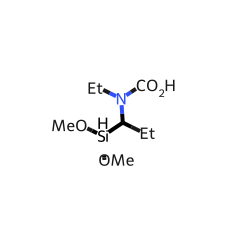 CCC(N(CC)C(=O)O)[SiH](OC)OC